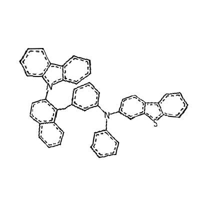 c1ccc(N(c2cccc(-c3c(-n4c5ccccc5c5ccccc54)ccc4ccccc34)c2)c2ccc3c(c2)sc2ccccc23)cc1